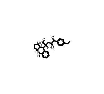 CCc1ccc(C(=O)C(=O)CC(N)(C(=O)O)C2c3ccccc3N[C@@H]3CCC[C@H]23)cc1